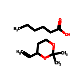 C=CC1CCOC(C)(C)O1.CCCCCC(=O)O